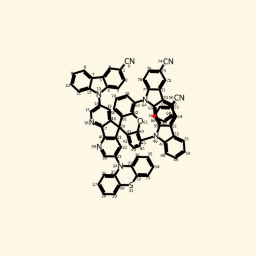 N#Cc1ccc2c(c1)c1ccccc1n2-c1cnc2c(c1)C1(c3cc(N4c5ccccc5Sc5ccccc54)cnc3-2)c2cccc(-n3c4ccccc4c4cc(C#N)ccc43)c2Oc2c(-n3c4ccccc4c4cc(C#N)ccc43)cccc21